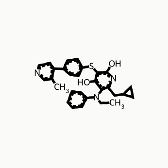 CCN(c1ccccc1)c1c(CC2CC2)nc(O)c(Sc2ccc(-c3ccncc3C)cc2)c1O